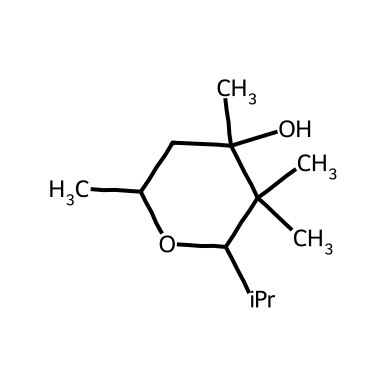 CC1CC(C)(O)C(C)(C)C(C(C)C)O1